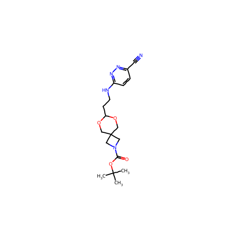 CC(C)(C)OC(=O)N1CC2(COC(CCNc3ccc(C#N)nn3)OC2)C1